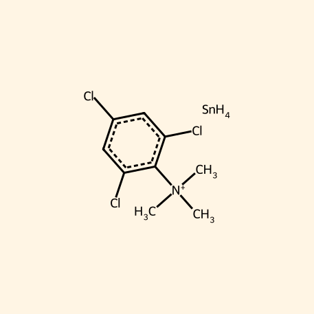 C[N+](C)(C)c1c(Cl)cc(Cl)cc1Cl.[SnH4]